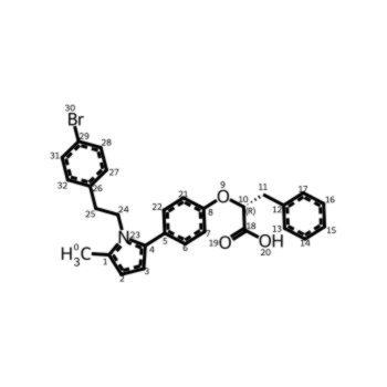 Cc1ccc(-c2ccc(O[C@H](Cc3ccccc3)C(=O)O)cc2)n1CCc1ccc(Br)cc1